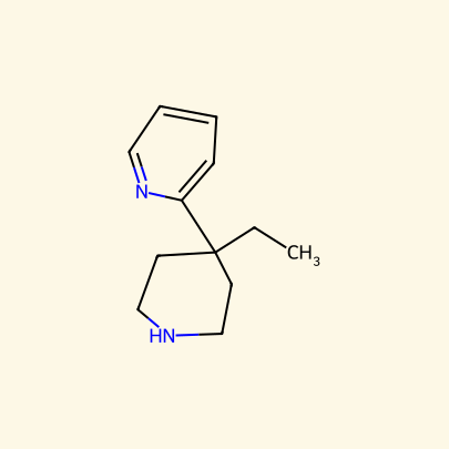 CCC1(c2ccccn2)CCNCC1